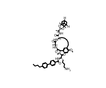 CCCCc1ccc(-c2ccc(C(=O)N[C@@H](CCCCN)C(=O)N(C)[C@@H]3C(=O)N[C@@H](C)C(=O)N[C@H](C(=O)N[C@@H](C)B4O[C@]5(C)C[C@@H]6C[C@@H](C6(C)C)[C@]5(C)O4)CCCCCc4cc3ccc4OC)cc2)cc1